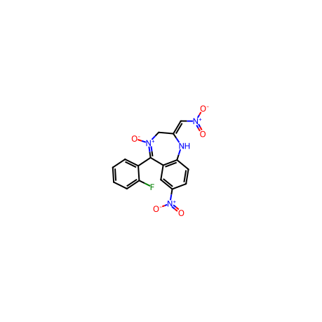 O=[N+]([O-])C=C1C[N+]([O-])=C(c2ccccc2F)c2cc([N+](=O)[O-])ccc2N1